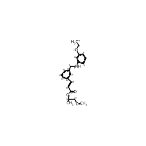 CCOc1cccc(NCc2cccc(/C=C/C(=O)OC(C)COC)c2)c1